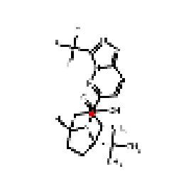 CC(C)(C)[C@@]12CC[C@H](CN(c3ccc4nnc(C(F)(F)F)n4n3)C1)N2C(=O)O